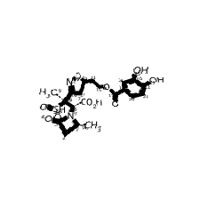 C[C@@H]1CC(=O)N1[C@@H](C(=O)O)[C@](C)(C1=NOC(CCOC(=O)c2ccc(O)c(O)c2)C1)[SH](=O)=O